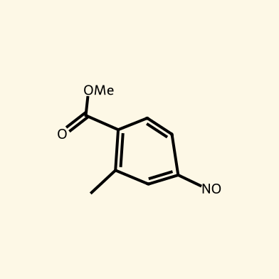 COC(=O)c1ccc(N=O)cc1C